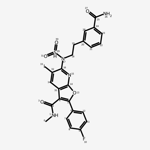 CNC(=O)c1c(-c2ccc(F)cc2)oc2nc(N(CCc3cccc(C(N)=O)c3)[SH](=O)=O)c(I)cc12